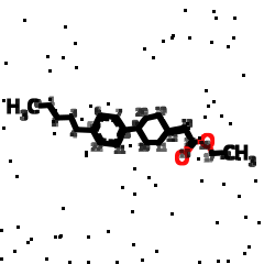 CCCCCc1ccc(C2CCC(=CC(=O)OCC)CC2)cc1